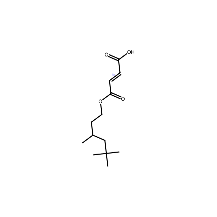 CC(CCOC(=O)/C=C/C(=O)O)CC(C)(C)C